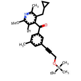 COc1nc(C)c(CC2CC2)c(C(=O)c2cc(C)cc(C#CCO[Si](C)(C)C(C)(C)C)c2)c1C(C)C